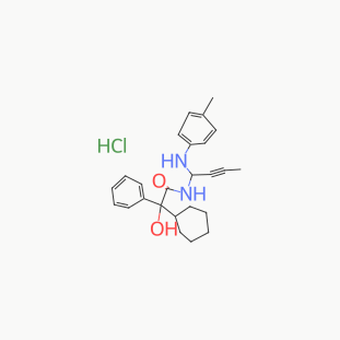 CC#CC(NC(=O)C(O)(c1ccccc1)C1CCCCC1)Nc1ccc(C)cc1.Cl